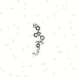 CCOCn1cc(NC(=O)N2CCC[C@@H](c3nc(-c4cccc(OC)c4)c4ccccn34)C2)cn1